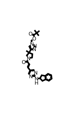 CC(C)(C)C(=O)OCn1cc(C2(C)CCN(C(=O)C=Cc3cnc(NC4Cc5ccccc5C4)nc3)C2)nn1